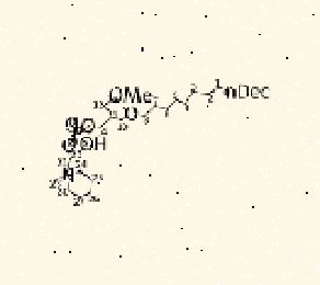 CCCCCCCCCCCCCCCCCCOCC(COC)COP(=O)(O)OCC[N+]1(C)CCCCC1